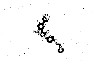 Cn1cc(-c2cc3c(C(=O)Nc4ccc(OCCN5CCCC5)cc4)n[nH]c3cc2F)cn1